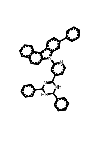 c1ccc(-c2ccc3c4c5ccccc5ccc4n(-c4cc(C5=NC(c6ccccc6)NC(c6ccccc6)N5)ccn4)c3c2)cc1